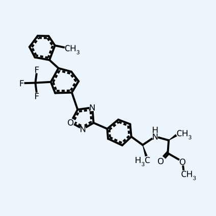 COC(=O)[C@H](C)N[C@@H](C)c1ccc(-c2noc(-c3ccc(-c4ccccc4C)c(C(F)(F)F)c3)n2)cc1